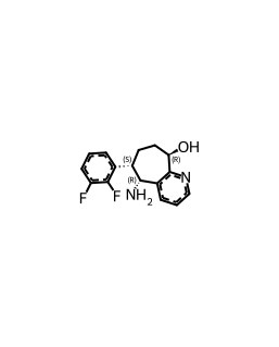 N[C@H]1c2cccnc2[C@H](O)CC[C@H]1c1cccc(F)c1F